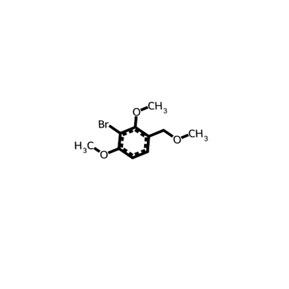 COCc1ccc(OC)c(Br)c1OC